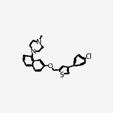 CN1CCN(c2cccc3ccc(OCc4cc(-c5ccc(Cl)cc5)cs4)cc23)CC1